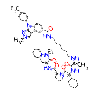 CCNC(=O)[C@H](Cc1ccccc1)NC(=O)[C@@H]1CCCN1C(=O)[C@@H](NC(=O)[C@H](C)NCCCCCCNC(=O)c1ccc2c(c1)c1cn(C)nc1n2-c1ccc(C(F)(F)F)cc1)C1CCCCC1